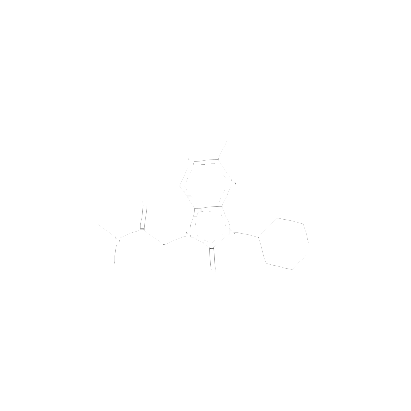 CN(C)C(=O)Cn1c(=O)n(C2CCOCC2)c2nc(Cl)ncc21